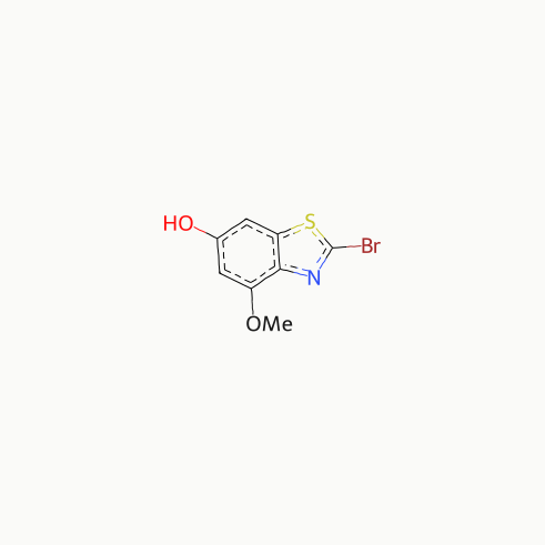 COc1cc(O)cc2sc(Br)nc12